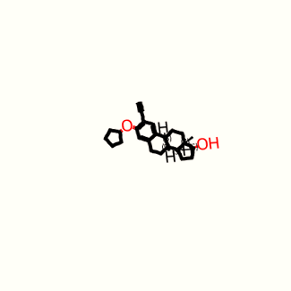 C#Cc1cc2c(cc1OC1CCCC1)CC[C@@H]1[C@@H]2CC[C@]2(C)[C@@H](O)CC[C@@H]12